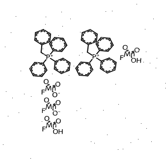 [O]=[Mn](=[O])([O-])[F].[O]=[Mn](=[O])([O-])[F].[O]=[Mn](=[O])([OH])[F].[O]=[Mn](=[O])([OH])[F].c1ccc(C[P+](c2ccccc2)(c2ccccc2)c2ccccc2)cc1.c1ccc(C[P+](c2ccccc2)(c2ccccc2)c2ccccc2)cc1